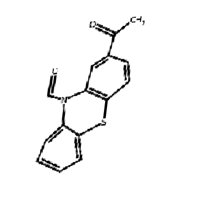 CC(=O)c1ccc2c(c1)N(C=O)c1ccccc1S2